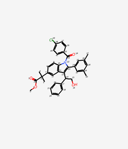 COC(=O)C(C)(C)c1ccc2c(c1)c(C(CO)c1ccccc1)c(-c1cc(C)cc(C)c1)n2C(=O)c1ccc(Cl)cc1